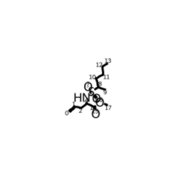 C=CCC(NS(=O)(=O)C(C)CCCC)C(=O)OC